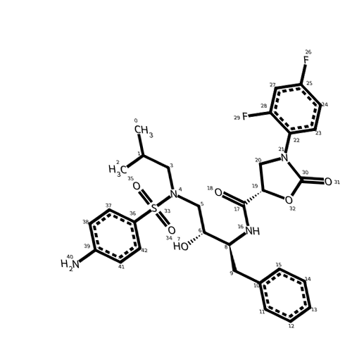 CC(C)CN(C[C@@H](O)[C@H](Cc1ccccc1)NC(=O)[C@@H]1CN(c2ccc(F)cc2F)C(=O)O1)S(=O)(=O)c1ccc(N)cc1